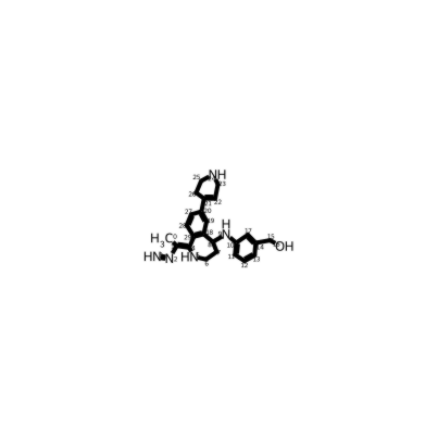 C/C(N=N)=C1/NCCC(Nc2cccc(CO)c2)c2cc(C3=CCNCC3)ccc21